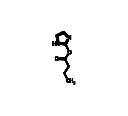 CCCC(=O)Oc1ncc[nH]1